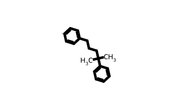 CC(C)(CCCc1cc[c]cc1)c1ccccc1